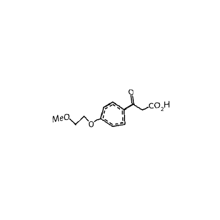 COCCOc1ccc(C(=O)CC(=O)O)cc1